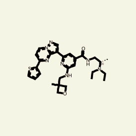 CCN(CC)[C@@H](C)CNC(=O)c1cc(NCC2(C)COC2)nc(-c2cnn3ccc(-c4cccs4)nc23)c1